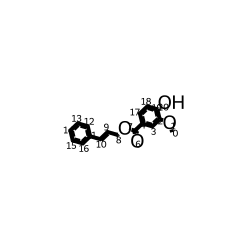 COc1cc(C(=O)OC/C=C/c2ccccc2)ccc1O